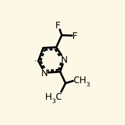 CC(C)c1n[c]cc(C(F)F)n1